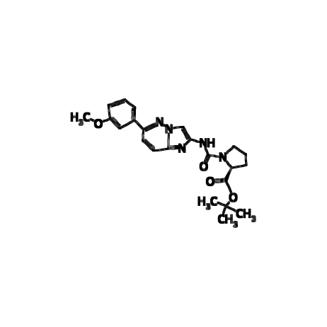 COc1cccc(-c2ccc3nc(NC(=O)N4CCC[C@H]4C(=O)OC(C)(C)C)cn3n2)c1